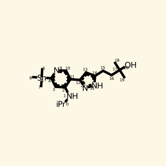 CC(C)Nc1c[c]([Sn]([CH3])([CH3])[CH3])ncc1-c1cc(CCC(C)(C)O)[nH]n1